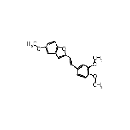 COc1ccc2oc(C=Cc3ccc(OC)c(OC)c3)cc2c1